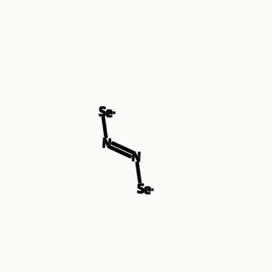 [Se]N=N[Se]